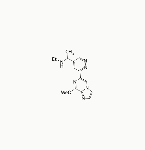 CCNC(C)c1cnnc(-c2cn3ccnc3c(OC)n2)c1